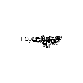 CC(c1cc(C(=O)N2CCC(CC(=O)O)CC2)ccc1Cl)C(O)(c1ccc2c(c1)N(C)C(=O)CO2)C(F)(F)F